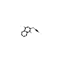 CCCC#CCc1cc(CCC)c2ccccc2c1CCC